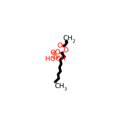 C=CC(=O)OC(CCCCCCCCC)OP(=O)(O)O